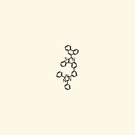 c1ccc(-c2nc(-c3ccccc3)nc(-c3cccc(-c4ccc5nc(-c6cc7ccccc7c7ccccc67)c6sc7ccccc7c6c5c4)c3)n2)cc1